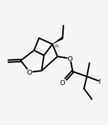 C=C1OC2C(OC(=O)C(C)(I)CC)[C@@]3(CC)CC1C23